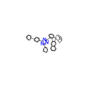 c1ccc(-c2ccc(-c3nc(-c4ccccc4)nc(-c4cccc5c4-c4cc6ccccc6cc4C54C5CC6CC(C5)CC4C6)n3)cc2)cc1